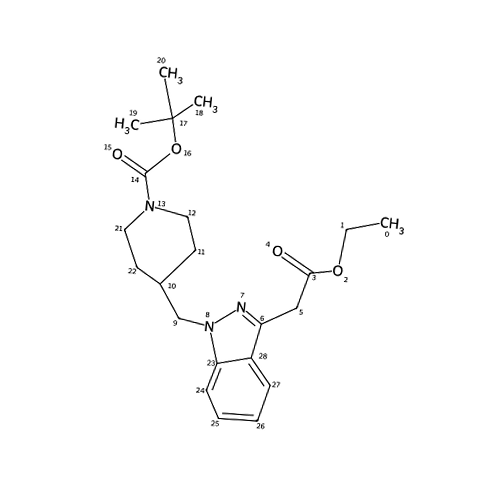 CCOC(=O)Cc1nn(CC2CCN(C(=O)OC(C)(C)C)CC2)c2ccccc12